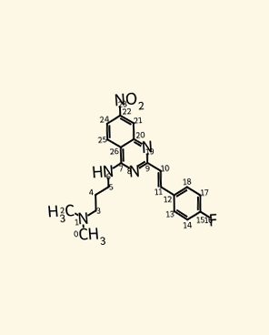 CN(C)CCCNc1nc(C=Cc2ccc(F)cc2)nc2cc([N+](=O)[O-])ccc12